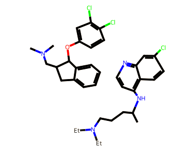 CCN(CC)CCCC(C)Nc1ccnc2cc(Cl)ccc12.CN(C)CC1Cc2ccccc2C1Oc1ccc(Cl)c(Cl)c1